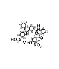 COc1ccc(C(=O)Nc2ccccc2NC(=O)c2cccc(-c3nc4cc(C(=O)O)ccc4n3C3CCCCC3)c2)cc1[N+](=O)[O-]